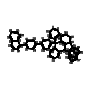 c1ccc(C2(c3ccc(-c4ccc(-c5cccc6cccnc56)cc4)cc3)c3ccccc3C3(c4ccccc4)c4ccccc4-c4cccc2c43)cc1